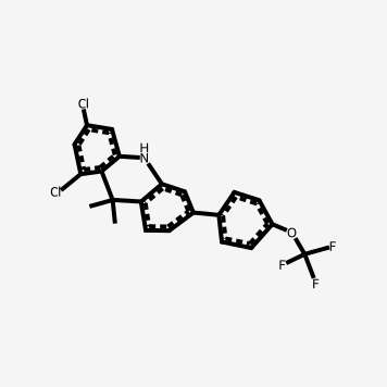 CC1(C)c2ccc(-c3ccc(OC(F)(F)F)cc3)cc2Nc2cc(Cl)cc(Cl)c21